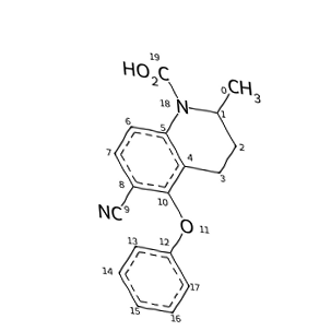 CC1CCc2c(ccc(C#N)c2Oc2ccccc2)N1C(=O)O